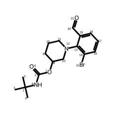 CC(C)(C)NC(=O)OC1CCCN(c2c(Br)cccc2C=O)C1